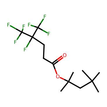 CC(C)(C)CC(C)(C)OC(=O)CCC(F)(C(F)(F)F)C(F)(F)F